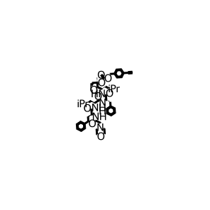 C#Cc1ccc(COC(=O)O[C@](C)(CI)C(=O)[C@H](CC(C)C)NC(=O)[C@H](Cc2ccccc2)NC(=O)[C@H](CC(C)C)NC(=O)[C@H](CCc2ccccc2)NC(=O)CN2CCOCC2)cc1